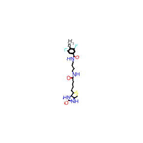 Bc1c(F)cc(C(=O)NCCCCNC(=O)CCCCC2SCC3NC(=O)NC32)cc1F